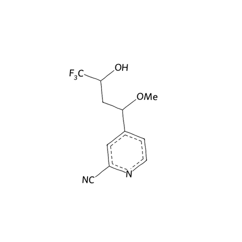 COC(CC(O)C(F)(F)F)c1ccnc(C#N)c1